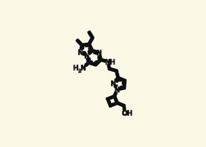 CCc1c(C)nn2c(N)cc(NCCc3ccn(C4CCC4CO)n3)nc12